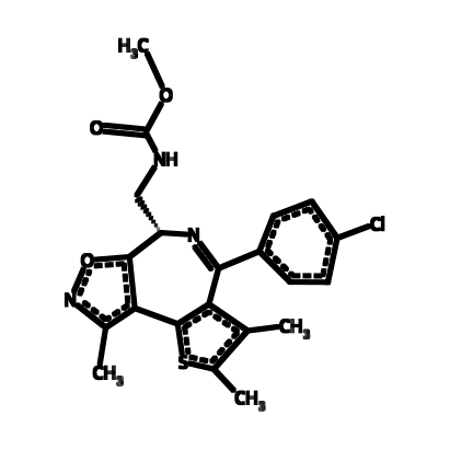 COC(=O)NC[C@@H]1N=C(c2ccc(Cl)cc2)c2c(sc(C)c2C)-c2c(C)noc21